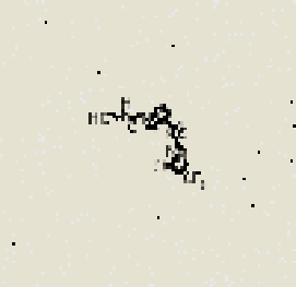 O=C(Cn1ccc2c(-c3noc(-c4cn5cc(C(F)(F)F)cc(Cl)c5n4)n3)cccc21)NCCO